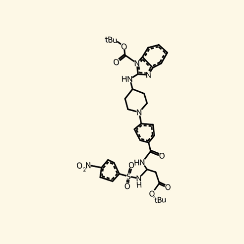 CC(C)(C)OC(=O)CC(NC(=O)c1ccc(N2CCC(Nc3nc4ccccc4n3C(=O)OC(C)(C)C)CC2)cc1)NS(=O)(=O)c1ccc([N+](=O)[O-])cc1